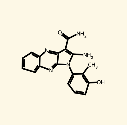 Cc1c(O)cccc1-n1c(N)c(C(N)=O)c2nc3ccccc3nc21